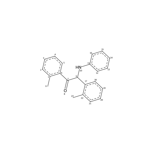 Cc1ccccc1C(=O)C(Nc1ccccc1)c1ccccc1C